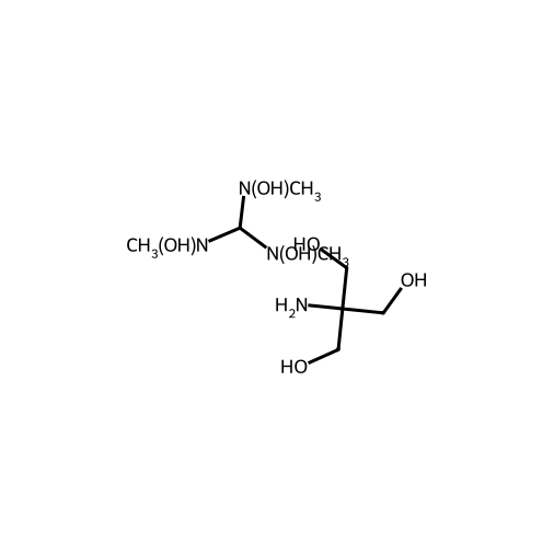 CN(O)C(N(C)O)N(C)O.NC(CO)(CO)CO